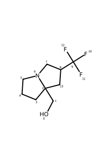 OCC12CCCN1CC(C(F)(F)F)C2